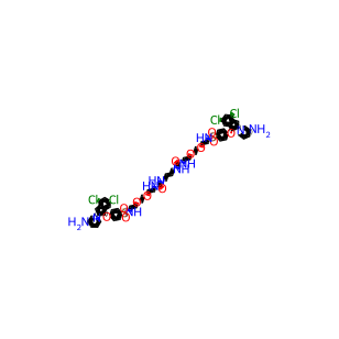 N[C@@H]1CCCN([C@@H]2Cc3c(Cl)cc(Cl)cc3[C@@H]2Oc2ccc(S(=O)(=O)NCCOCCOCCNC(=O)NCCCCNC(=O)NCCOCCOCCNS(=O)(=O)c3ccc(O[C@H]4c5cc(Cl)cc(Cl)c5C[C@H]4N4CCC[C@@H](N)C4)cc3)cc2)C1